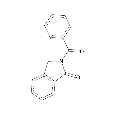 O=C(c1ccccn1)N1Cc2ccccc2C1=O